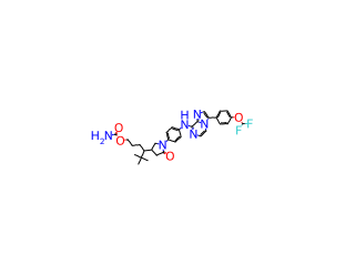 CC(C)(C)C(CCCOC(N)=O)C1CC(=O)N(c2ccc(Nc3nccn4c(-c5ccc(OC(F)F)cc5)cnc34)cc2)C1